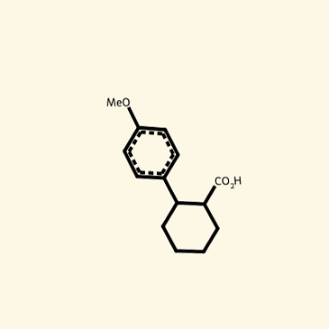 COc1ccc(C2CCCCC2C(=O)O)cc1